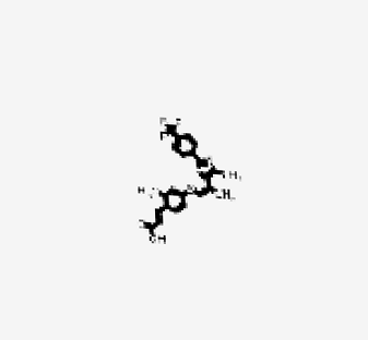 Cc1cc(SCC(C)c2sc(-c3ccc(C(F)(F)F)cc3)nc2C)ccc1CCC(=O)O